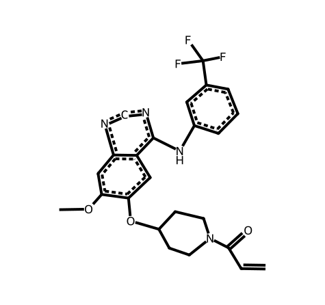 C=CC(=O)N1CCC(Oc2cc3c(Nc4cccc(C(F)(F)F)c4)ncnc3cc2OC)CC1